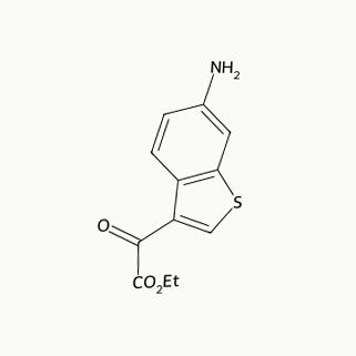 CCOC(=O)C(=O)c1csc2cc(N)ccc12